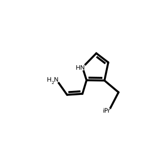 CC(C)Cc1cc[nH]c1/C=C\N